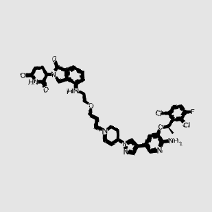 C[C@@H](Oc1cc(-c2cnn(C3CCN(CCCOCCNc4cccc5c4CN(C4CCC(=O)NC4=O)C5=O)CC3)c2)cnc1N)c1c(Cl)ccc(F)c1Cl